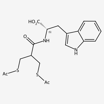 CC(=O)SCC(CSC(C)=O)C(=O)N[C@@H](Cc1c[nH]c2ccccc12)C(=O)O